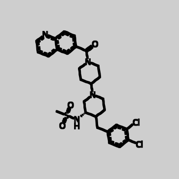 CS(=O)(=O)N[C@@H]1CN(C2CCN(C(=O)c3ccc4ncccc4c3)CC2)CCC1Cc1ccc(Cl)c(Cl)c1